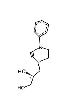 OC[C@@H](O)CN1C#CN(c2ccccc2)CC1